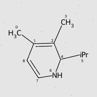 CC1=C(C)C(C(C)C)NC=C1